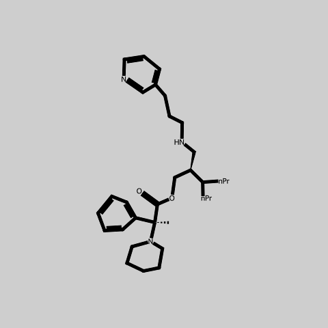 CCCC(CCC)[C@H](CNCCCc1cccnc1)COC(=O)[C@](C)(c1ccccc1)N1CCCCC1